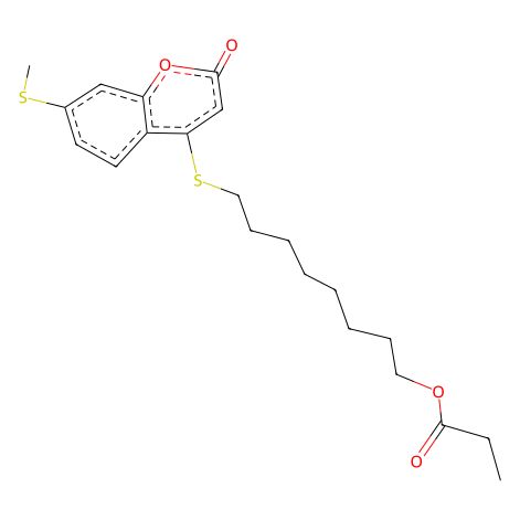 CCC(=O)OCCCCCCCCSc1cc(=O)oc2cc(SC)ccc12